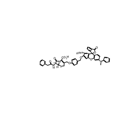 CCCCCCc1cc2c(cc1OCc1ccc(OCC3=C(C(=O)O)N4C(=O)[C@H](NC(=O)Cc5ccccc5)[C@@H]4SC3)cc1)Oc1cc(N(C)c3ccccc3)ccc1C21OC(=O)c2ccccc21